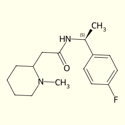 C[C@H](NC(=O)CC1CCCCN1C)c1ccc(F)cc1